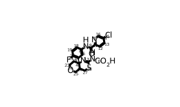 O=C(O)NC1=N[C@@]2(c3cc(NC(=O)c4ccc(Cl)cn4)ccc3F)CCOCC2CS1